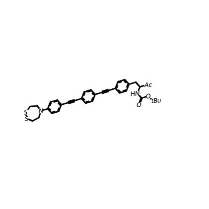 CC(=O)C(Cc1ccc(C#Cc2ccc(C#Cc3ccc(N4CCSSCC4)cc3)cc2)cc1)NC(=O)OC(C)(C)C